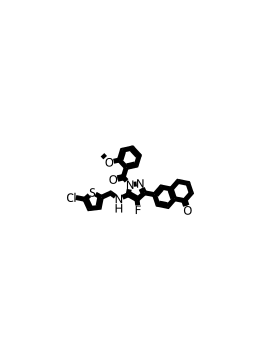 COc1ccccc1C(=O)n1nc(-c2ccc3c(c2)CCCC3=O)c(F)c1NCc1ccc(Cl)s1